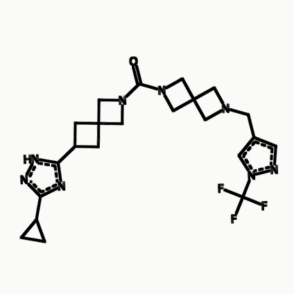 O=C(N1CC2(CC(c3nc(C4CC4)n[nH]3)C2)C1)N1CC2(CN(Cc3cnn(C(F)(F)F)c3)C2)C1